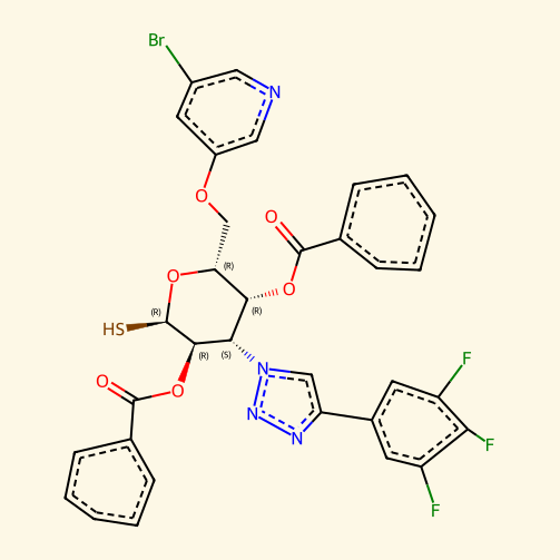 O=C(O[C@@H]1[C@@H](n2cc(-c3cc(F)c(F)c(F)c3)nn2)[C@@H](OC(=O)c2ccccc2)[C@@H](COc2cncc(Br)c2)O[C@@H]1S)c1ccccc1